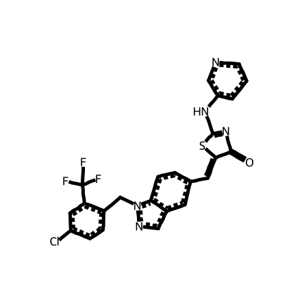 O=C1N=C(Nc2cccnc2)S/C1=C\c1ccc2c(cnn2Cc2ccc(Cl)cc2C(F)(F)F)c1